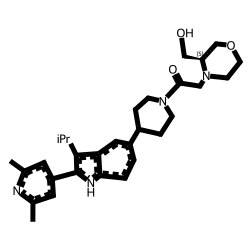 Cc1cc(-c2[nH]c3ccc(C4CCN(C(=O)CN5CCOC[C@@H]5CO)CC4)cc3c2C(C)C)cc(C)n1